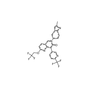 Cn1cc2cc(-n3cc4ccc(OCC(F)(F)F)nc4c(-c4ccc(C(F)(F)F)nc4)c3=O)ccc2n1